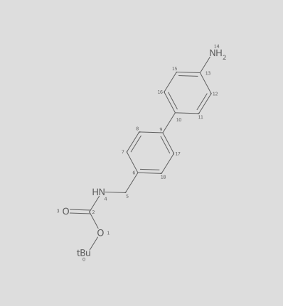 CC(C)(C)OC(=O)NCc1ccc(-c2ccc(N)cc2)cc1